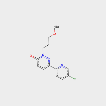 CCCCOCCCn1nc(-c2ccc(Cl)cn2)ccc1=O